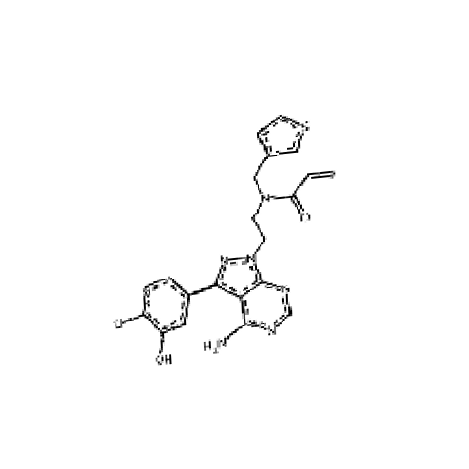 C=CC(=O)N(CCn1nc(-c2ccc(Cl)c(O)c2)c2c(N)ncnc21)Cc1ccsc1